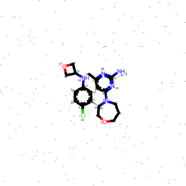 Cc1cc(N2CCCOC[C@@H]2c2cc(NC3COC3)ccc2Cl)nc(N)n1